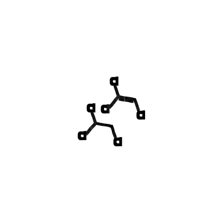 ClC=C(Cl)Cl.ClCC(Cl)Cl